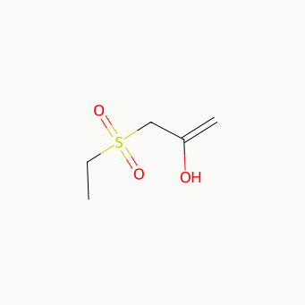 C=C(O)CS(=O)(=O)CC